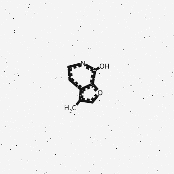 Cc1coc2c(O)nccc12